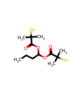 CCCC(OC(=O)C(C)(C)S)OC(=O)C(C)(C)S